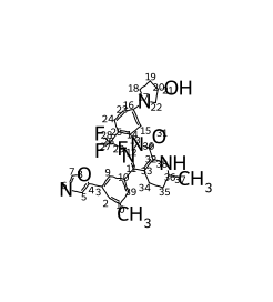 Cc1cc(-c2cnco2)cc(-c2nn(-c3cc(N4CC[C@H](O)C4)ccc3C(F)(F)F)c(=O)c3c2CCC(C)N3)c1